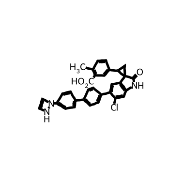 Cc1ccc(C2CC23C(=O)Nc2cc(Cl)c(-c4ccc(-c5ccc(-n6cc[nH]6)cc5)cc4)cc23)cc1C(=O)O